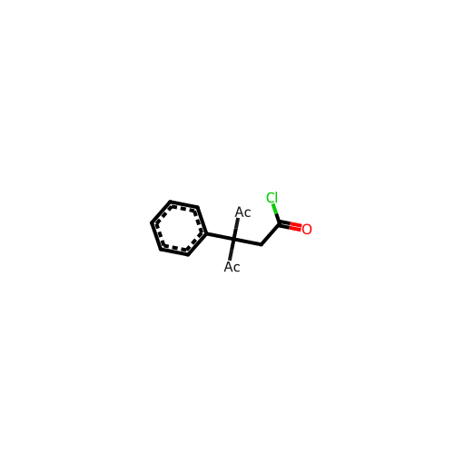 CC(=O)C(CC(=O)Cl)(C(C)=O)c1ccccc1